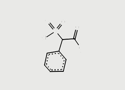 O=C(Cl)C(c1ccccc1)S(=O)(=O)Cl